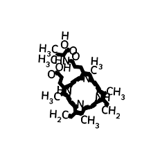 C=CC1=C(C)c2cc3[nH]c(cc4nc(cc5[nH]c(cc1n2)c(C)c5CCC(=O)O)C(CCC(=O)N[C@H](C(=O)O)C(C)C)=C4C)c(C)c3C=C